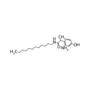 CCCCCCCCCCCCNC(=O)C(C)c1ccc(O)cc1N